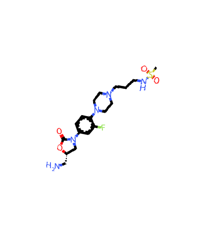 CS(=O)(=O)NCCCN1CCN(c2ccc(N3C[C@H](CN)OC3=O)cc2F)CC1